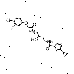 O=C(COc1ccc(Cl)c(F)c1)NCC(O)CCNC(=O)c1csc(C2CC2)n1